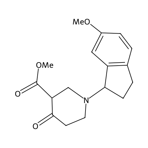 COC(=O)C1CN(C2CCc3ccc(OC)cc32)CCC1=O